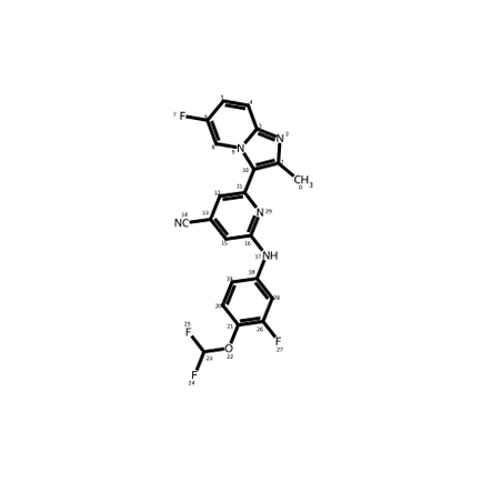 Cc1nc2ccc(F)cn2c1-c1cc(C#N)cc(Nc2ccc(OC(F)F)c(F)c2)n1